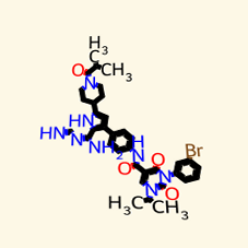 CC(C)C(=O)N1CCC(c2cc(-c3ccc(NC(=O)c4cn(C(C)C)c(=O)n(-c5cccc(Br)c5)c4=O)cc3)c(/C(N)=N\C=N)[nH]2)CC1